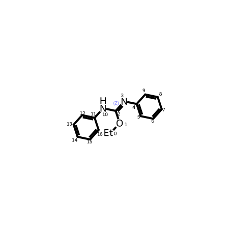 CCO/C(=N\c1ccccc1)Nc1ccccc1